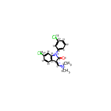 CN(C)/C=C1\C(=O)N(c2cccc(Cl)c2)c2cc(Cl)ccc21